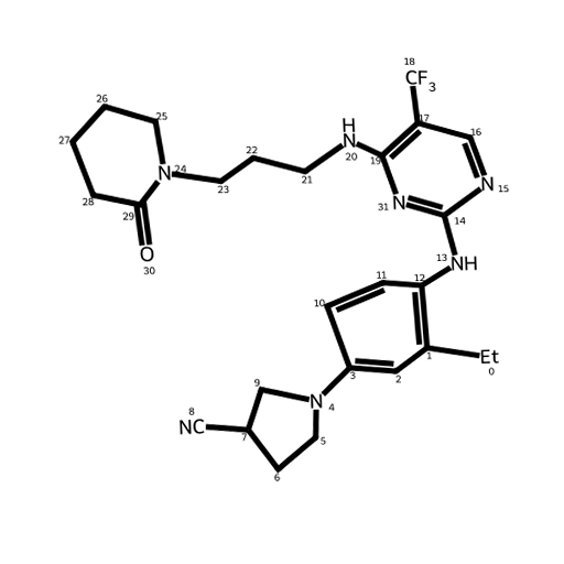 CCc1cc(N2CCC(C#N)C2)ccc1Nc1ncc(C(F)(F)F)c(NCCCN2CCCCC2=O)n1